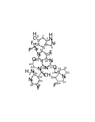 Cc1cc2[nH]ncc2c(-c2nc3c4c(nc(OC[C@@]56CCCN5C[C@H](F)C6)nc4c2F)N([C@@H](C)c2cc(F)cnc2N)CCO3)c1C(F)(F)F